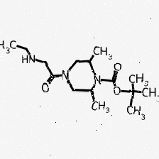 CCNCC(=O)N1CC(C)N(C(=O)OC(C)(C)C)C(C)C1